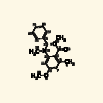 COC(=O)c1c(C)cc(OC)cc1N(C)Cc1ccccc1